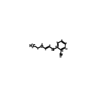 CCOC=CSc1ccccc1Br